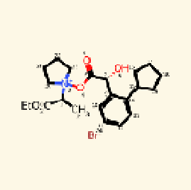 CCOC(=O)[C@H](C)[N+]1(OC(=O)[C@H](O)c2ccccc2C2CCCC2)CCCC1.[Br-]